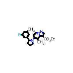 CCOC(=O)c1cnn2ccc(N3CCCC3c3cc(C)cc(F)c3)c(C)c12